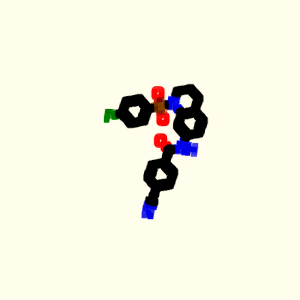 N#Cc1ccc(C(=O)Nc2ccc3c(c2)N(S(=O)(=O)c2ccc(F)cc2)CCC3)cc1